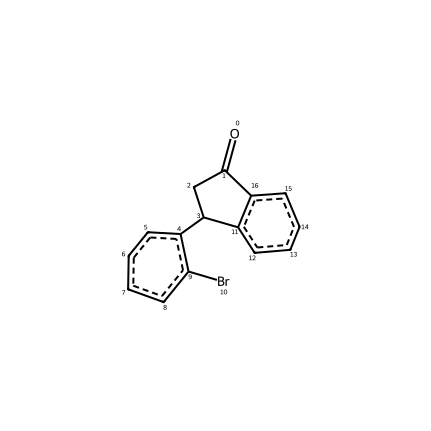 O=C1CC(c2ccccc2Br)c2ccccc21